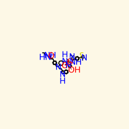 CCCNNC(=O)/C=C/c1ccc(CN(CCc2c[nH]c3ccccc23)C2CCCC(N[C@H](C(=O)N3C[C@H](O)C[C@H]3C(=O)N[C@@H](CN(C)C)c3ccc(-c4scnc4C)cc3)C(C)(C)C)CC2)cc1